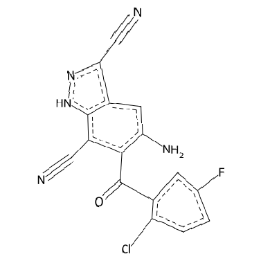 N#Cc1n[nH]c2c(C#N)c(C(=O)c3cc(F)ccc3Cl)c(N)cc12